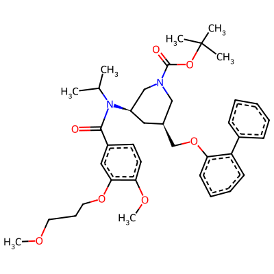 COCCCOc1cc(C(=O)N(C(C)C)[C@@H]2C[C@H](COc3ccccc3-c3ccccc3)CN(C(=O)OC(C)(C)C)C2)ccc1OC